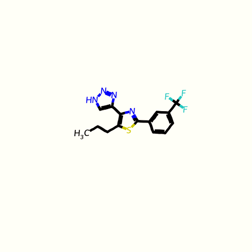 CCCc1sc(-c2cccc(C(F)(F)F)c2)nc1-c1c[nH]nn1